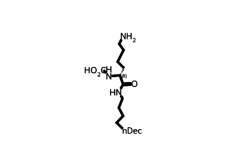 CCCCCCCCCCCCCCNC(=O)[C@@H](CCCCN)NC(=O)O